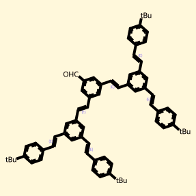 CC(C)(C)c1ccc(/C=C/c2cc(/C=C/c3ccc(C(C)(C)C)cc3)cc(/C=C/c3cc(C=O)cc(/C=C/c4cc(/C=C/c5ccc(C(C)(C)C)cc5)cc(/C=C/c5ccc(C(C)(C)C)cc5)c4)c3)c2)cc1